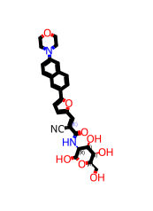 N#C/C(=C\c1ccc(-c2ccc3cc(N4CCOCC4)ccc3c2)o1)C(=O)N[C@H]1C(O)O[C@H](CO)[C@@H](O)[C@@H]1O